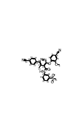 COc1cc(C#N)ccc1Oc1nnc(-c2ccc(C#N)cc2)c(C)c1C(=O)Nc1cccc(S(C)(=O)=O)c1